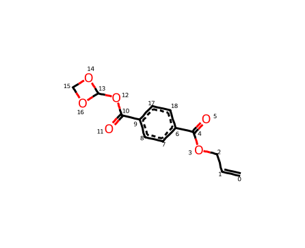 C=CCOC(=O)c1ccc(C(=O)OC2OCO2)cc1